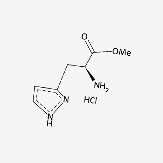 COC(=O)[C@@H](N)Cc1cc[nH]n1.Cl